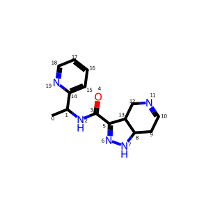 CC(NC(=O)C1=NNC2CC=NCC12)c1ccccn1